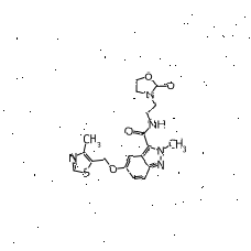 Cc1ncsc1COc1ccc2nn(C)c(C(=O)NCCN3CCOC3=O)c2c1